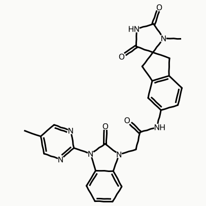 Cc1cnc(-n2c(=O)n(CC(=O)Nc3ccc4c(c3)CC3(C4)C(=O)NC(=O)N3C)c3ccccc32)nc1